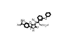 CC(=O)N([C@H](CC(=O)O)c1cccc(Oc2ccccc2)c1)N1C(=O)N[C@](C)(c2ccc(C(=N)N)cc2)C1=O